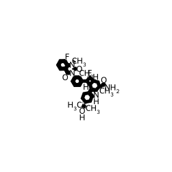 Cc1c(C2[C@@H](F)[C@H]3C[C@](C)(C(N)=O)c4[nH]c5c(c4[C@@H]23)CC[C@H](C(C)(C)O)C5)cccc1-n1c(=O)c2cccc(F)c2n(C)c1=O